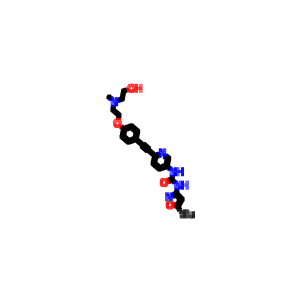 CN(CCO)CCOc1ccc(C#Cc2ccc(NC(=O)Nc3cc(C(C)(C)C)on3)cn2)cc1